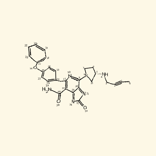 CC#CCN[C@H]1CCN(c2nc(-c3ccc(Oc4ccccc4)cc3)c(C(N)=O)c3c2=NC(=O)N=3)C1